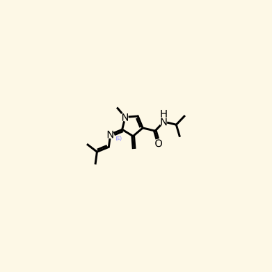 C=C1C(C(=O)NC(C)C)=CN(C)/C1=N/C=C(C)C